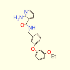 CCOc1cccc(Oc2cccc(CNC(=O)c3cccnc3N)c2)c1